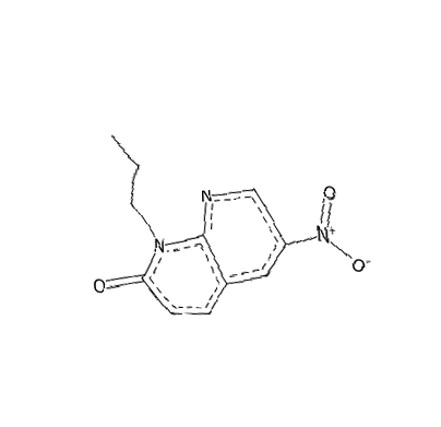 CCCn1c(=O)ccc2cc([N+](=O)[O-])cnc21